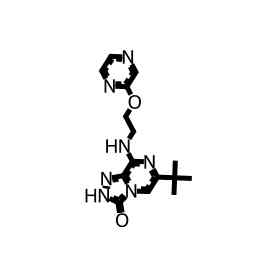 CC(C)(C)c1cn2c(=O)[nH]nc2c(NCCOc2cnccn2)n1